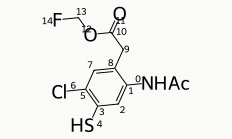 CC(=O)Nc1cc(S)c(Cl)cc1CC(=O)OCF